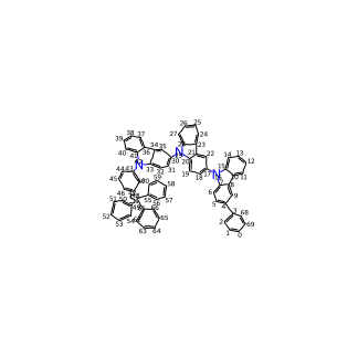 c1ccc(-c2ccc3c(c2)c2ccccc2n3-c2ccc3c(c2)c2ccccc2n3-c2ccc3c(c2)c2ccccc2n3-c2cccc([Si](c3ccccc3)(c3ccccc3)c3ccccc3)c2)cc1